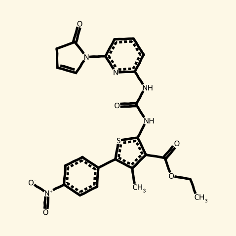 CCOC(=O)c1c(NC(=O)Nc2cccc(N3C=CCC3=O)n2)sc(-c2ccc([N+](=O)[O-])cc2)c1C